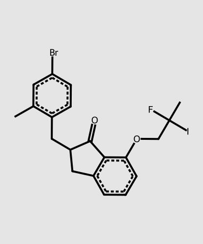 Cc1cc(Br)ccc1CC1Cc2cccc(OCC(C)(F)I)c2C1=O